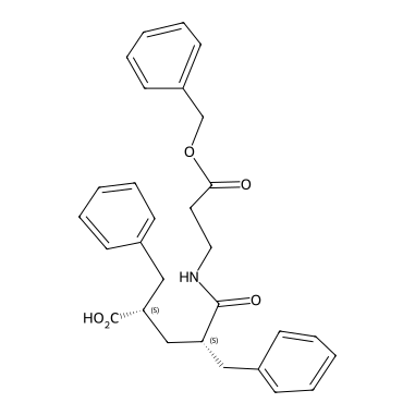 O=C(CCNC(=O)[C@H](Cc1ccccc1)C[C@@H](Cc1ccccc1)C(=O)O)OCc1ccccc1